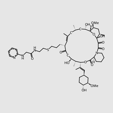 CO[C@H]1C[C@@H](C)[C@@]2(O)O[C@@H]1[C@@H](O)C[C@@H](C)C/C(C)=C/[C@@H](CCCSCCNC(=O)CNc1ccccn1)C(=O)C[C@H](O)[C@@H](C)[C@@H](/C(C)=C/[C@@H]1CC[C@@H](O)[C@H](OC)C1)OC(=O)[C@@H]1CCCCN1C(=O)C2=O